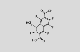 Cl.O=C(O)c1c(F)c(F)c2c(F)c(C(=O)O)c(F)c(F)c2c1F